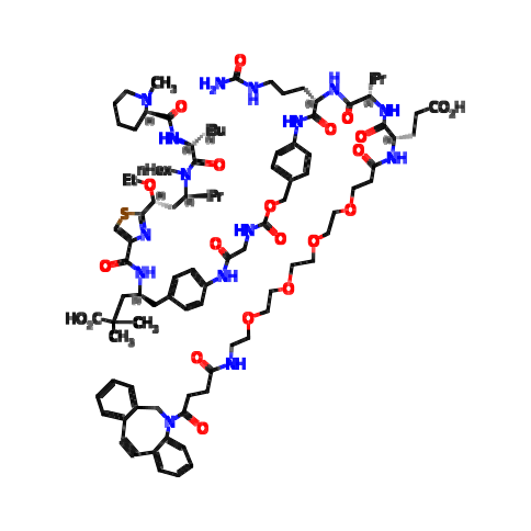 CCCCCCN(C(=O)[C@@H](NC(=O)[C@H]1CCCCN1C)[C@@H](C)CC)[C@H](C[C@@H](OCC)c1nc(C(=O)N[C@@H](Cc2ccc(NC(=O)CNC(=O)OCc3ccc(NC(=O)[C@H](CCCNC(N)=O)NC(=O)[C@@H](NC(=O)[C@H](CCC(=O)O)NC(=O)CCOCCOCCOCCOCCNC(=O)CCC(=O)N4Cc5ccccc5C#Cc5ccccc54)C(C)C)cc3)cc2)CC(C)(C)C(=O)O)cs1)C(C)C